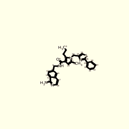 CCCc1c(C(=O)NCc2ccc3c(N)nccc3c2)cc(C)n1Cc1csc(-c2ccccc2)n1